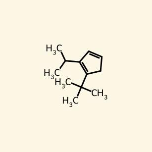 CC(C)C1=C(C(C)(C)C)CC=C1